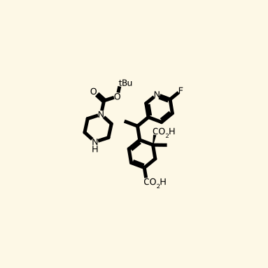 CC(C)(C)OC(=O)N1CCNCC1.CC(C1=CC=C(C(=O)O)C[C@]1(C)C(=O)O)c1ccc(F)nc1